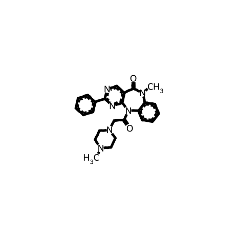 CN1CCN(CC(=O)N2c3ccccc3N(C)C(=O)c3cnc(-c4ccccc4)nc32)CC1